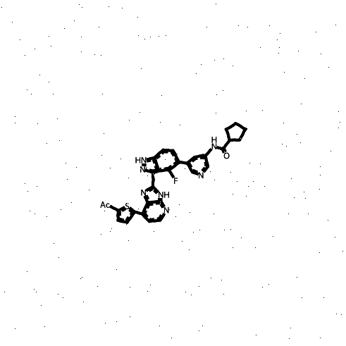 CC(=O)c1ccc(-c2ccnc3[nH]c(-c4n[nH]c5ccc(-c6cncc(NC(=O)C7CCCC7)c6)c(F)c45)nc23)s1